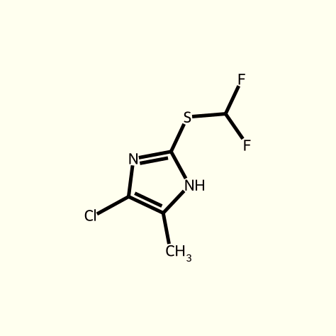 Cc1[nH]c(SC(F)F)nc1Cl